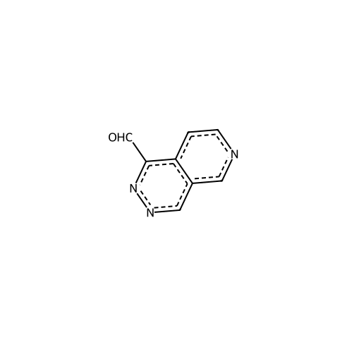 O=Cc1nncc2cnccc12